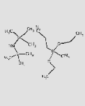 CCC[Si](C)(OCC)OCC.C[Si](C)(C)N[Si](C)(C)C